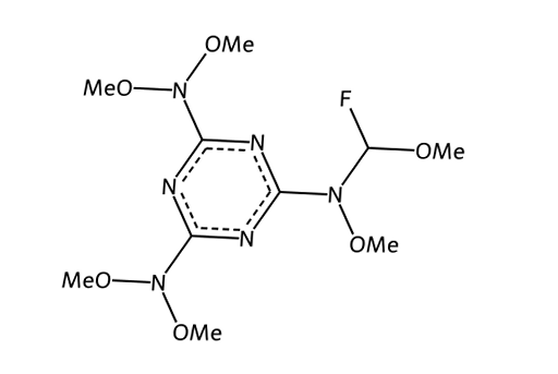 COC(F)N(OC)c1nc(N(OC)OC)nc(N(OC)OC)n1